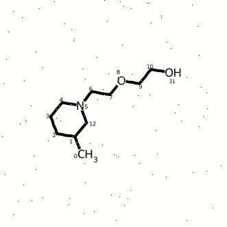 CC1CCCN(CCOCCO)C1